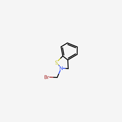 BrCN1Cc2ccccc2S1